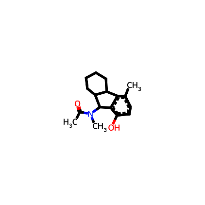 CC(=O)N(C)C1c2c(O)ccc(C)c2C2CCCCC21